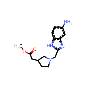 COC(=O)CC1CCN(Cc2nc3cc(N)ccc3[nH]2)C1